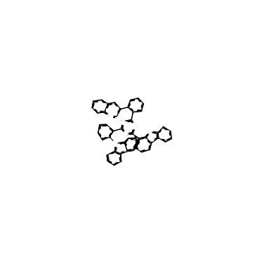 c1ccc(-c2nc(-c3ccccc3-n3c4ccccc4c4ccccc43)nc(-c3cccc4c3sc3ccccc34)n2)c(-c2ccc3ccccc3c2)c1